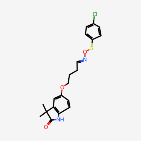 CC1(C)C(=O)Nc2ccc(OCCCC=NOSc3ccc(Cl)cc3)cc21